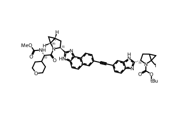 COC(=O)N[C@H](C(=O)N1[C@@H]2C[C@@H]2C[C@H]1c1nc2c(ccc3cc(C#Cc4ccc5nc([C@@H]6CC7CC7(I)N6C(=O)OC(C)(C)C)[nH]c5c4)ccc32)[nH]1)C1CCOCC1